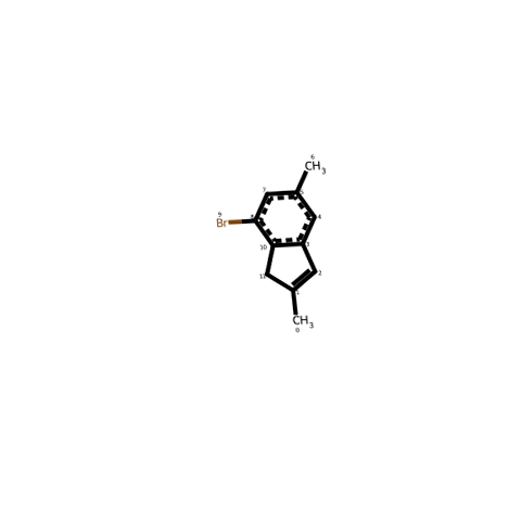 CC1=Cc2cc(C)cc(Br)c2C1